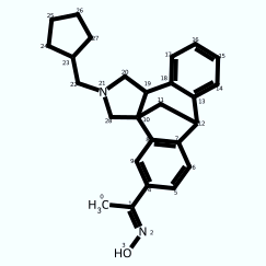 CC(=NO)c1ccc2c(c1)C13CC2c2ccccc2C1CN(CC1CCCC1)C3